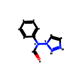 O=CN(c1ccccc1)n1ccnn1